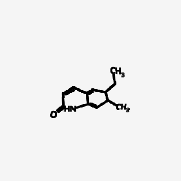 CCC1C=c2ccc(=O)[nH]c2=CC1C